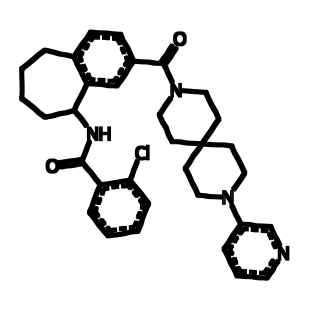 O=C(NC1CCCCc2ccc(C(=O)N3CCC4(CC3)CCN(c3cccnc3)CC4)cc21)c1ccccc1Cl